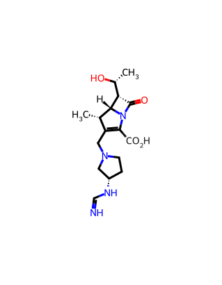 C[C@@H](O)[C@@H]1C(=O)N2C(C(=O)O)=C(CN3CC[C@H](NC=N)C3)[C@H](C)[C@H]12